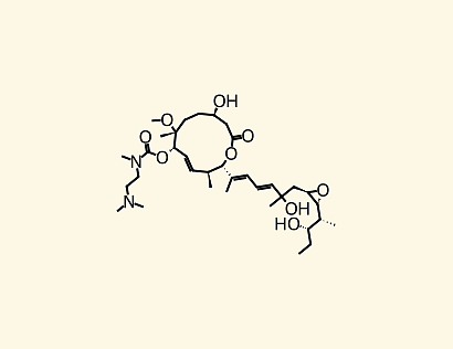 CC[C@H](O)[C@@H](C)[C@H]1O[C@@H]1CC(C)(O)/C=C/C=C(\C)[C@H]1OC(=O)C[C@H](O)CC[C@@](C)(OC)[C@@H](OC(=O)N(C)CCN(C)C)/C=C/[C@@H]1C